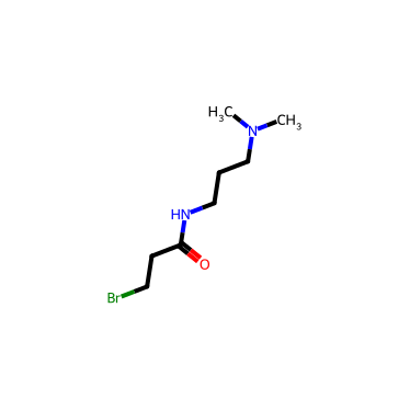 CN(C)CCCNC(=O)CCBr